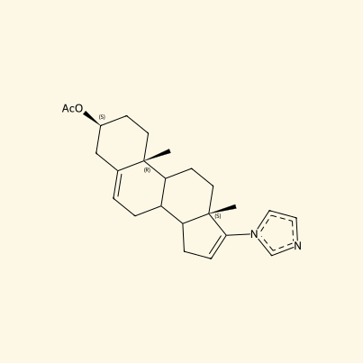 CC(=O)O[C@H]1CC[C@@]2(C)C(=CCC3C2CC[C@]2(C)C(n4ccnc4)=CCC32)C1